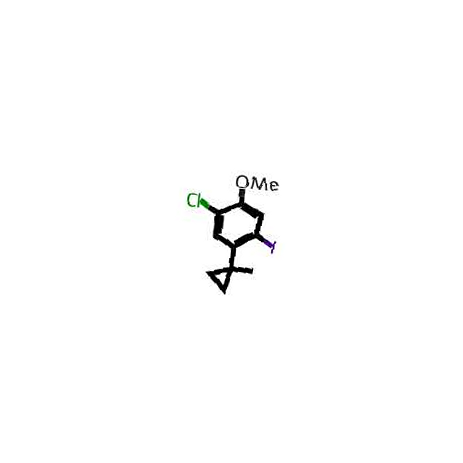 COc1cc(I)c(C2(C)CC2)cc1Cl